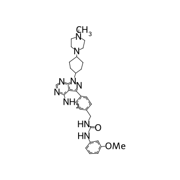 COc1cccc(NC(=O)NCc2ccc(-c3nn(C4CCC(N5CCN(C)CC5)CC4)c4ncnc(N)c34)cc2)c1